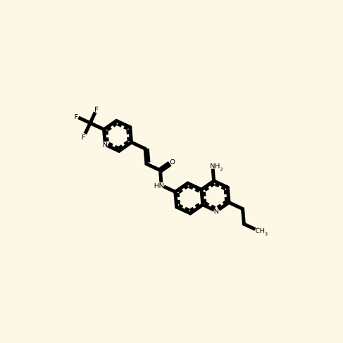 CCCc1cc(N)c2cc(NC(=O)C=Cc3ccc(C(F)(F)F)nc3)ccc2n1